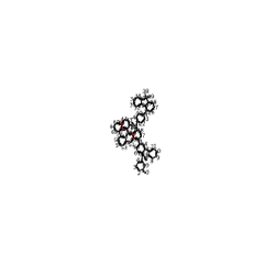 CC1C=CC=C(n2c3ccccc3c3cc(-c4ccc(N(c5ccc(-c6cccc7c6-c6ccccc6C7(C)C)cc5)c5ccccc5-c5cccc6cccc(-c7ccccc7)c56)cc4)ccc32)C1